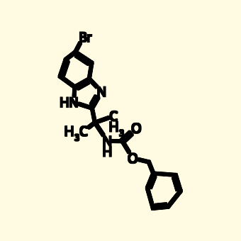 CC(C)(NC(=O)OCc1ccccc1)c1nc2cc(Br)ccc2[nH]1